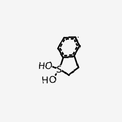 OS1(O)CCc2c[c]ccc21